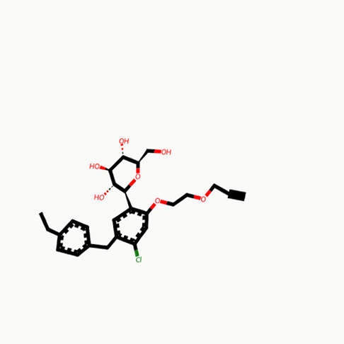 C#CCOCCOc1cc(Cl)c(Cc2ccc(CC)cc2)cc1[C@@H]1O[C@H](CO)[C@@H](O)[C@H](O)[C@H]1O